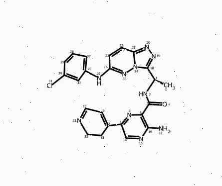 C[C@@H](NC(=O)c1nc(C2=CC=NCC2)cnc1N)c1nnc2ccc(Nc3cccc(Cl)c3)nn12